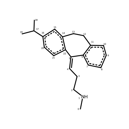 CNCC/C=C1\c2ccccc2CCc2cc(C(C)C)ccc21